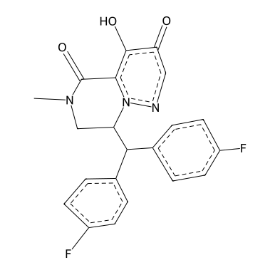 CN1CC(C(c2ccc(F)cc2)c2ccc(F)cc2)n2ncc(=O)c(O)c2C1=O